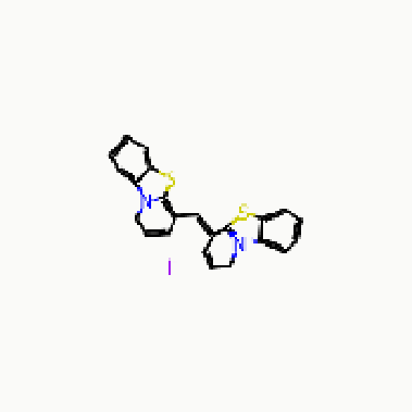 C1=CC(C=C2C=CC[n+]3c2sc2ccccc23)=C2Sc3ccccc3N2C1.[I-]